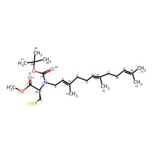 COC(=O)[C@H](CS)N(C/C=C(\C)CC/C=C(\C)CCC=C(C)C)C(=O)OC(C)(C)C